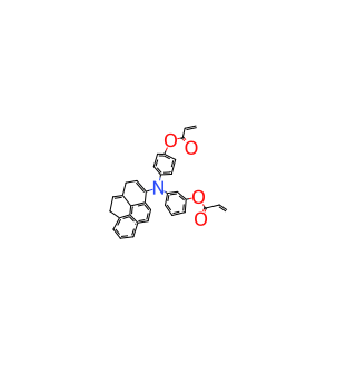 C=CC(=O)Oc1ccc(N(C2=CCC3=CCc4cccc5ccc2c3c45)c2cccc(OC(=O)C=C)c2)cc1